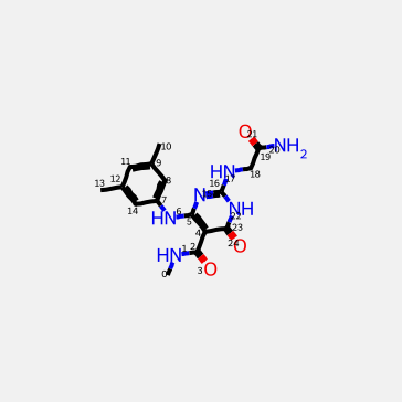 CNC(=O)c1c(Nc2cc(C)cc(C)c2)nc(NCC(N)=O)[nH]c1=O